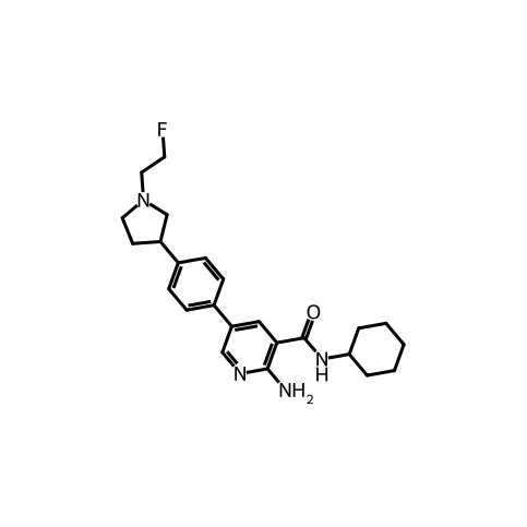 Nc1ncc(-c2ccc(C3CCN(CCF)C3)cc2)cc1C(=O)NC1CCCCC1